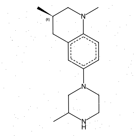 CC1CN(c2ccc3c(c2)C[C@@H](C)CN3C)CCN1